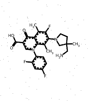 Cc1c(F)c(N2CCC(C)(CN)C2)c(C)c2c1c(=O)c(C(=O)O)cn2-c1ccc(F)cc1F